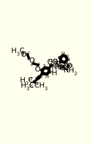 COCCOCCOc1cc(C(=O)NS(=O)(=O)c2ccccc2S(N)(=O)=O)ccc1C#CC(C)(C)C